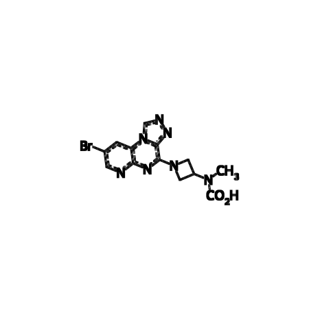 CN(C(=O)O)C1CN(c2nc3ncc(Br)cc3n3cnnc23)C1